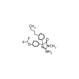 CCCCc1cccc(C2(c3ccc(OC(F)F)cc3)N=C(N)N(C)C2=O)c1